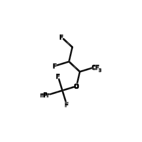 CCCC(F)(F)OC(C(F)CF)C(F)(F)F